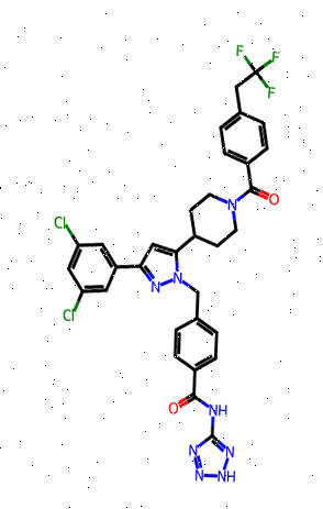 O=C(Nc1nn[nH]n1)c1ccc(Cn2nc(-c3cc(Cl)cc(Cl)c3)cc2C2CCN(C(=O)c3ccc(CC(F)(F)F)cc3)CC2)cc1